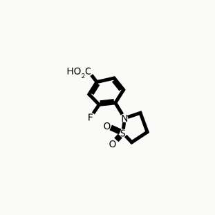 O=C(O)c1ccc(N2CCCS2(=O)=O)c(F)c1